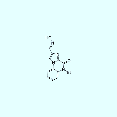 CCn1c(=O)c2nc(C=NO)cn2c2ccccc21